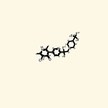 Cc1[nH]c(C)c(-c2ccc(C(F)(F)CN3CCC(C(F)(F)F)CC3)nc2)c(=O)c1Cl